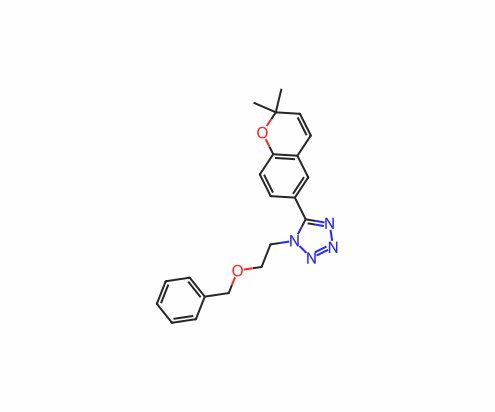 CC1(C)C=Cc2cc(-c3nnnn3CCOCc3ccccc3)ccc2O1